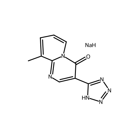 Cc1cccn2c(=O)c(-c3nnn[nH]3)cnc12.[NaH]